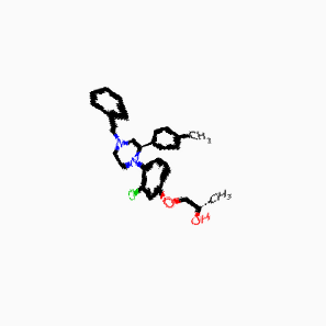 Cc1ccc([C@@H]2CN(Cc3ccccc3)CCN2c2ccc(OC[C@H](C)O)cc2Cl)cc1